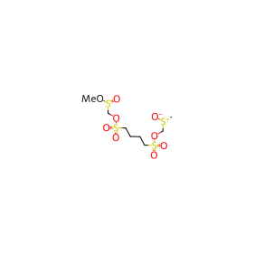 COS(=O)COS(=O)(=O)CCCCS(=O)(=O)OC[S+](C)[O-]